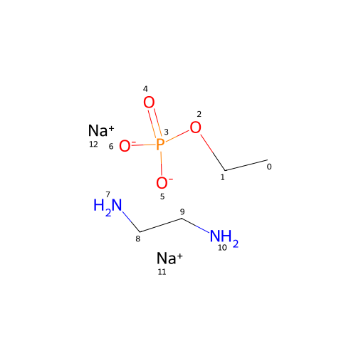 CCOP(=O)([O-])[O-].NCCN.[Na+].[Na+]